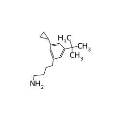 CC(C)(C)c1cc(CCCCN)cc(C2CC2)c1